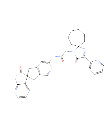 O=C(CN1C(=O)C(c2ccccn2)=NC12CCCCCC2)Nc1cc2c(cn1)CC1(C2)C(=O)Nc2ncccc21